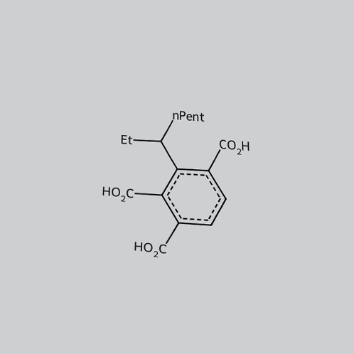 CCCCCC(CC)c1c(C(=O)O)ccc(C(=O)O)c1C(=O)O